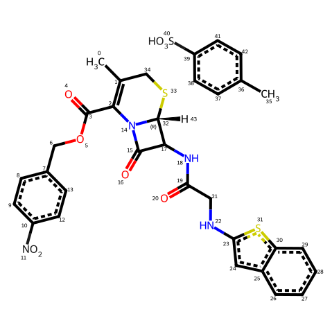 CC1=C(C(=O)OCc2ccc([N+](=O)[O-])cc2)N2C(=O)C(NC(=O)CNc3cc4ccccc4s3)[C@H]2SC1.Cc1ccc(S(=O)(=O)O)cc1